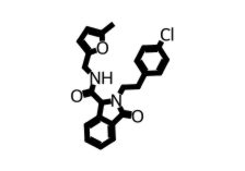 Cc1ccc(CNC(=O)C2c3ccccc3C(=O)N2CCc2ccc(Cl)cc2)o1